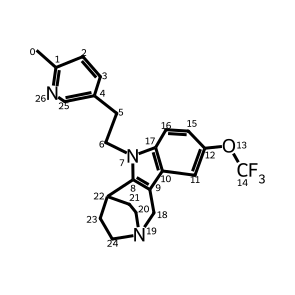 Cc1ccc(CCn2c3c(c4cc(OC(F)(F)F)ccc42)CN2CCC3CC2)cn1